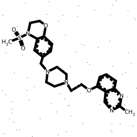 Cc1ncc2c(OCCN3CCN(Cc4ccc5c(c4)N(S(C)(=O)=O)CCO5)CC3)cccc2n1